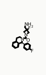 NCC1(F)CN(C(=O)N2CCc3ccccc3[C@@H]2c2ccc(F)cc2)C1